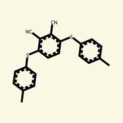 Cc1ccc(Sc2ccc(Sc3ccc(C)cc3)c(C#N)c2C#N)cc1